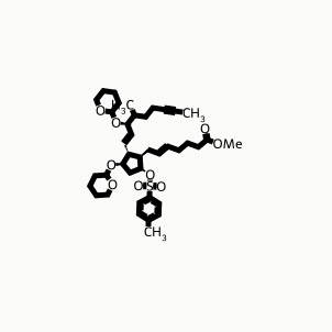 CC#CCCC(C)[C@@H](C=C[C@@H]1[C@@H](CC=CCCCC(=O)OC)[C@H](OS(=O)(=O)c2ccc(C)cc2)C[C@H]1OC1CCCCO1)OC1CCCCO1